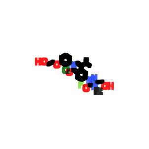 C=C(C)c1cn(-c2cccc(OCCO)c2Cl)c(=O)c2cc(F)c(-n3nc(CO)n(CC)c3=O)cc12